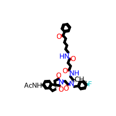 CC(=O)Nc1ccc2c(c1)CC[C@@]21CC(=O)N(CC(=O)N(Cc2ccc(F)cc2)[C@@H](C)CNC(=O)CCC(=O)NCCCCCC(=O)c2ccccc2)C1=O